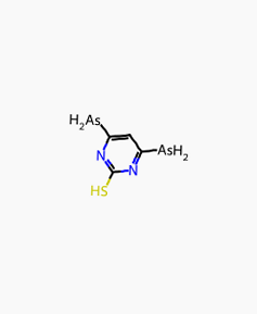 Sc1nc([AsH2])cc([AsH2])n1